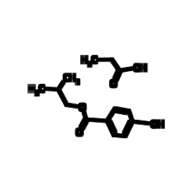 CC(C)COC(=O)c1ccc(O)cc1.CCC(=O)O